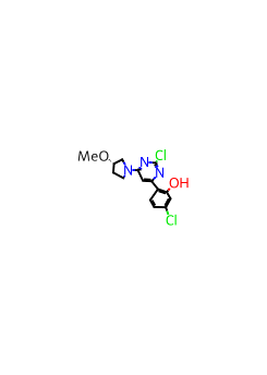 CO[C@H]1CCN(c2cc(-c3ccc(Cl)cc3O)nc(Cl)n2)C1